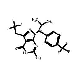 CC(C)[C@@H](c1ccc(C(F)(F)F)cc1)n1nc(CC(F)(F)F)c2c(=O)[nH]c(O)nc21